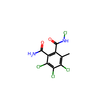 Cc1c(Cl)c(Cl)c(Cl)c(C(N)=O)c1C(=O)NCl